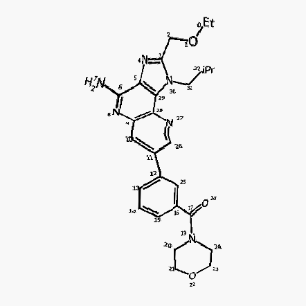 CCOCc1nc2c(N)nc3cc(-c4cccc(C(=O)N5CCOCC5)c4)cnc3c2n1CC(C)C